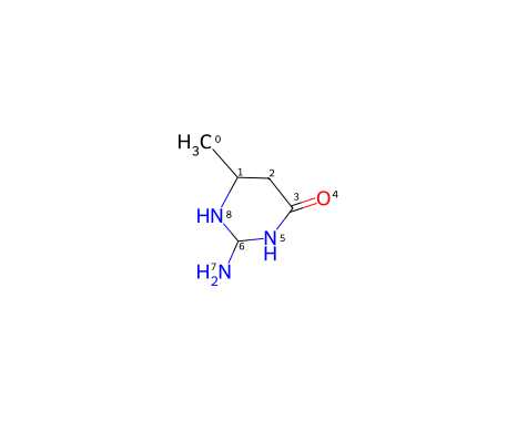 CC1CC(=O)NC(N)N1